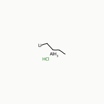 Cl.[AlH3].[Li][CH2]CCC